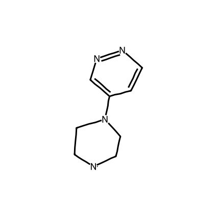 c1cc(N2CC[N]CC2)cnn1